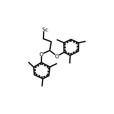 Cc1cc(C)c(OC(C[CH2][Sc])Oc2c(C)cc(C)cc2C)c(C)c1